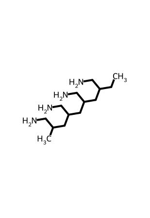 CCC(CN)CC(CN)CC(CN)CC(C)CN